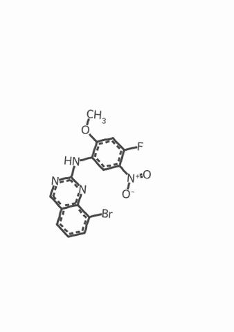 COc1cc(F)c([N+](=O)[O-])cc1Nc1ncc2cccc(Br)c2n1